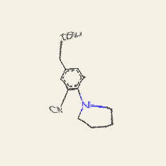 [C-]#[N+]c1cc(CC(C)(C)C)ccc1N1CCCC1